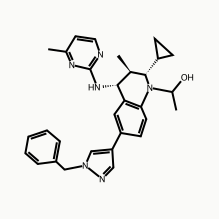 Cc1ccnc(N[C@H]2c3cc(-c4cnn(Cc5ccccc5)c4)ccc3N(C(C)O)[C@@H](C3CC3)[C@@H]2C)n1